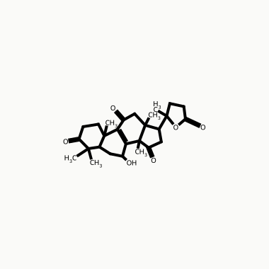 CC1(C2CC(=O)C3(C)C4=C(C(=O)CC23C)C2(C)CCC(=O)C(C)(C)C2CC4O)CCC(=O)O1